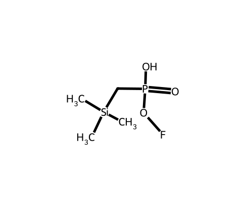 C[Si](C)(C)CP(=O)(O)OF